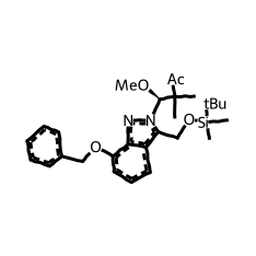 CO[C@H](n1nc2c(OCc3ccccc3)cccc2c1CO[Si](C)(C)C(C)(C)C)C(C)(C)C(C)=O